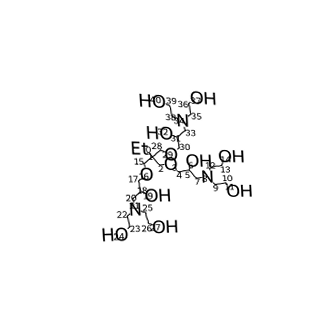 CCC(COCC(O)CN(CCO)CCO)(COCC(O)CN(CCO)CCO)COCC(O)CN(CCO)CCO